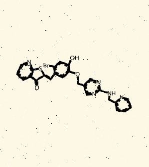 O=C1/C(=C/c2cc(OCc3cnc(NCc4ccccn4)nc3)c(O)cc2Br)Sc2ncccc21